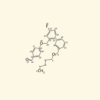 CCCCCOCc1ccccc1.O=Cc1ccc(OCc2cccc(F)c2)cc1